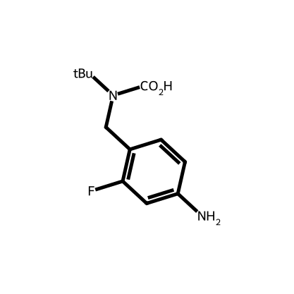 CC(C)(C)N(Cc1ccc(N)cc1F)C(=O)O